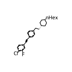 CCCCCC[C@H]1CC[C@H](CCc2ccc(C#Cc3ccc(Cl)c(F)c3)cc2)CC1